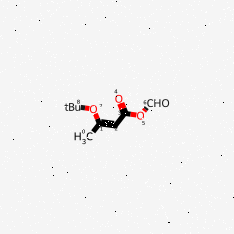 CC(=CC(=O)OC=O)OC(C)(C)C